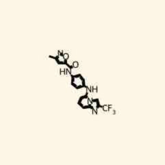 Cc1cc(C(=O)Nc2ccc(Nc3cccc4nc(C(F)(F)F)cn34)cc2)on1